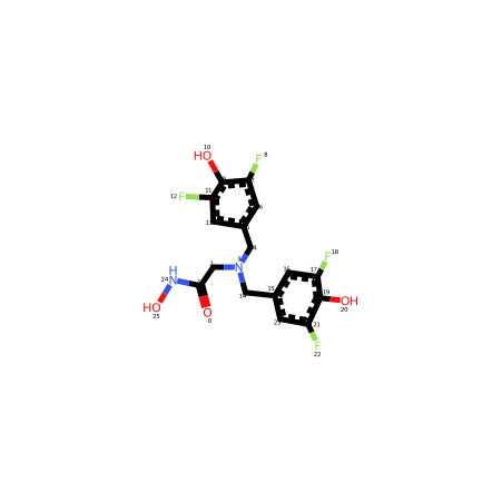 O=C(CN(Cc1cc(F)c(O)c(F)c1)Cc1cc(F)c(O)c(F)c1)NO